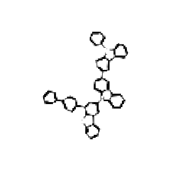 C1=C(c2ccc(-c3ccccc3)cc2)C2Sc3ccccc3C2C=C1n1c2ccccc2c2cc(-c3ccc4c(c3)c3ccccc3n4-c3ccccc3)ccc21